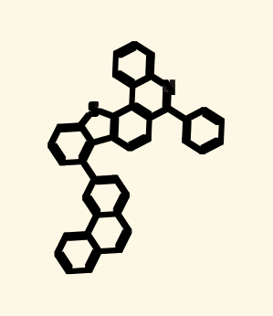 c1ccc(-c2nc3ccccc3c3c2ccc2c3sc3cccc(-c4ccc5ccc6ccccc6c5c4)c32)cc1